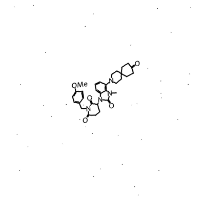 COc1ccc(CN2C(=O)CCC(n3c(=O)n(C)c4c(N5CCC6(CCC(=O)CC6)CC5)cccc43)C2=O)cc1